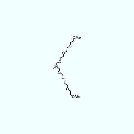 COCCOCCOCCOCN(C)COCCOCCOCCOC